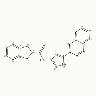 O=C(Nc1cc(-c2ccc3ccccc3c2)[nH]n1)C1Cc2ccccc2C1